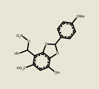 CCCC(O[N+](=O)[O-])c1c(C(=O)O)cc(O)c2c1OC(c1ccc(OC)cc1)O2